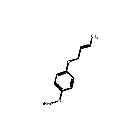 CC=CCOc1ccc(OCCCCCC)cc1